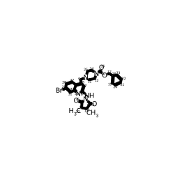 CC1C(=O)N(Nc2cc(CN3CCN(C(=O)OCc4ccccc4)CC3)c3ccc(Br)cc3n2)C(=O)C1C